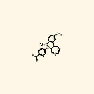 COc1ccc(C)cc1C1=CC=CN=CC1Oc1ccc(C(F)F)nc1